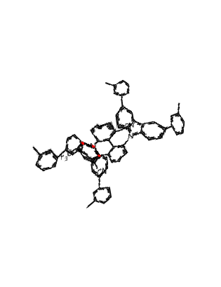 Cc1cccc(-c2ccc3c(c2)c2cc(-c4cccc(C)c4)ccc2n3-c2cccc(C#N)c2-c2c(-c3ccc(C(F)(F)F)cc3C#N)cccc2-n2c3ccc(-c4cccc(C)c4)cc3c3cc(-c4cccc(C)c4)ccc32)c1